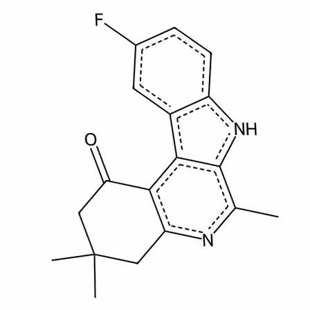 Cc1nc2c(c3c1[nH]c1ccc(F)cc13)C(=O)CC(C)(C)C2